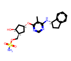 Cc1c(N[C@H]2CCc3ccccc32)ncnc1O[C@@H]1C[C@@H](COS(N)(=O)=O)[C@@H](O)C1